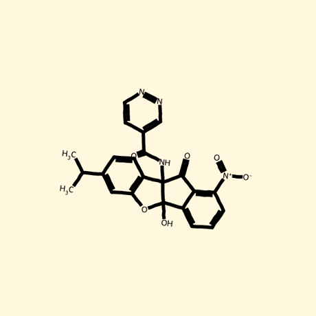 CC(C)c1ccc2c(c1)OC1(O)c3cccc([N+](=O)[O-])c3C(=O)C21NC(=O)c1ccnnc1